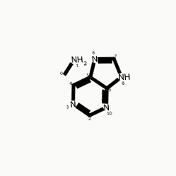 CN.c1ncc2nc[nH]c2n1